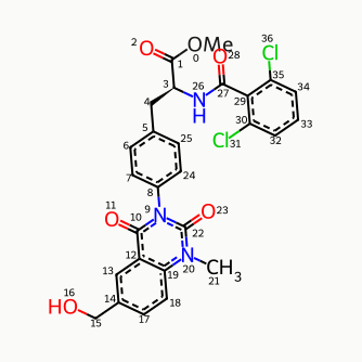 COC(=O)[C@H](Cc1ccc(-n2c(=O)c3cc(CO)ccc3n(C)c2=O)cc1)NC(=O)c1c(Cl)cccc1Cl